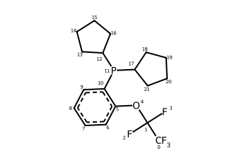 FC(F)(F)C(F)(F)Oc1ccccc1P(C1CCCC1)C1CCCC1